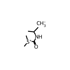 CC(C)NC(=O)[S+](C)C.[CH3-]